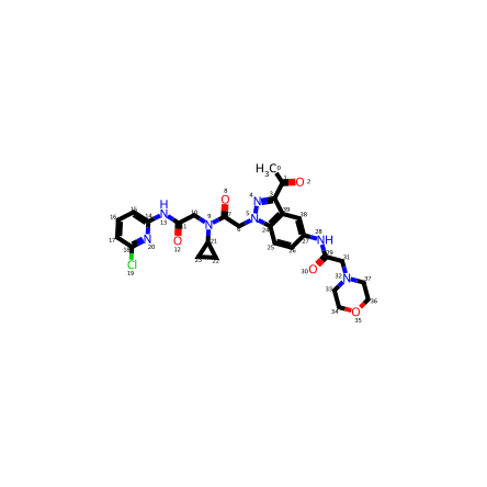 CC(=O)c1nn(CC(=O)N(CC(=O)Nc2cccc(Cl)n2)C2CC2)c2ccc(NC(=O)CN3CCOCC3)cc12